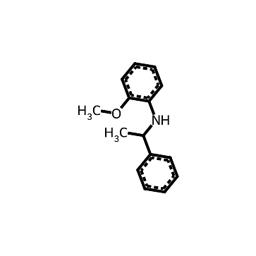 COc1ccccc1NC(C)c1ccccc1